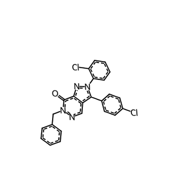 O=c1c2nn(-c3ccccc3Cl)c(-c3ccc(Cl)cc3)c2cnn1Cc1ccccc1